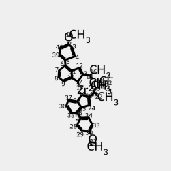 COc1ccc(-c2cccc3c2C=C(C(C)C)[CH]3[Zr+2][CH]2C(C(C)C)=Cc3c(-c4ccc(OC)cc4)cccc32)cc1.[Cl-].[Cl-]